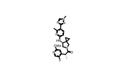 COc1cc([C@@H](C)C(=O)N2C[C@@H](Nc3ccc(-c4ncn(C)n4)c(C)n3)C3(CC3)C2)c(F)cn1